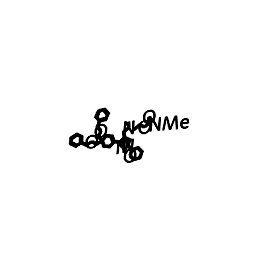 CNC(=O)OCCN(C)Cc1cn(C2CCCCO2)nc1C1=CCC(COCc2ccccc2)(COCc2ccccc2)CC1